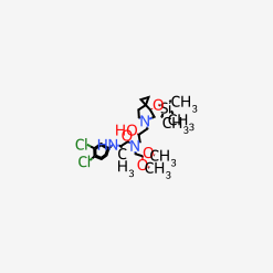 CC[Si](CC)(CC)O[C@@H]1CN(C[C@H](O)CN(CC(OC)OC)C(=O)C(C)Nc2ccc(Cl)c(Cl)c2)CCC12CC2